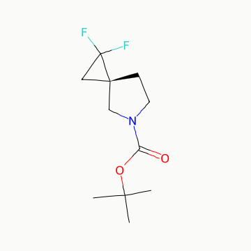 CC(C)(C)OC(=O)N1CC[C@@]2(C1)CC2(F)F